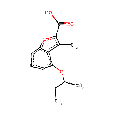 CCC(C)Oc1cccc2oc(C(=O)O)c(C)c12